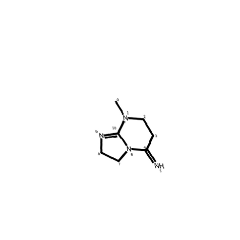 CN1CCC(=N)N2CCN=C12